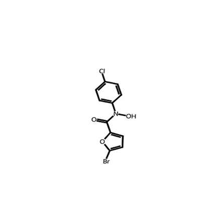 O=C(c1ccc(Br)o1)N(O)c1ccc(Cl)cc1